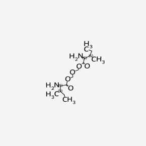 CC[C@H](C)[C@H](N)C(=O)OCOCOC(=O)[C@@H](N)[C@@H](C)CC